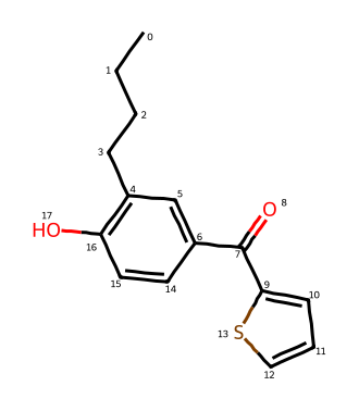 CCCCc1cc(C(=O)c2cccs2)ccc1O